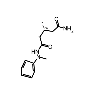 C[C@@H]([CH]C(=O)NN(C)c1ccccc1)CC(N)=O